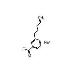 C=CCCCc1cccc(C(=O)[O-])c1.[Na+]